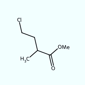 COC(=O)C(C)CCCl